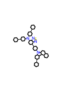 c1ccc(-c2ccc(N(c3ccc(-c4ccccc4)cc3)c3ccc(-c4ccc(-n5c6ccc(-c7ccccc7)cc6c6c7ccccc7ccc65)cc4)c4nsnc34)cc2)cc1